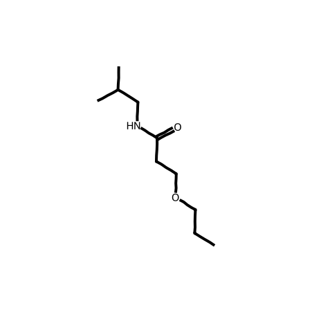 CCCOCCC(=O)NCC(C)C